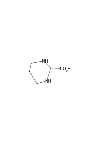 O=C(O)C1NCCCN1